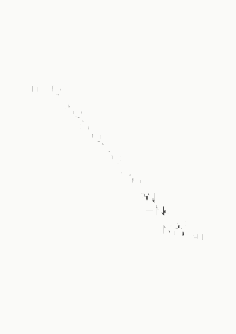 CCCOCCOCCOCCOCCOCCOCCOCCOCCOCCC(=O)NCCNC(=O)CC[C@H](N)C(=O)OC(C)(C)C